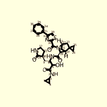 O=C(NC1CC1)C(O)[C@H](C[C@@H]1CCNC1=O)NC(=O)[C@@H]1[C@@H]2C[C@@H](CC23CC3)N1C(=O)c1nc(-c2ccccc2)cs1